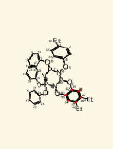 CCc1ccc(ON2P(Oc3ccccc3)N=P(Oc3ccccc3)(Oc3ccccc3)N(Oc3ccc(CC)cc3)P2Oc2ccc(CC)cc2)cc1